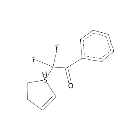 O=C(c1ccccc1)C(F)(F)[SH]1C=CC=C1